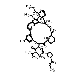 CCn1c(-c2cccnc2[C@H](C)OC)c2c3cc(ccc31)-c1cc(O)cc(c1)C[C@H](NC(=O)[C@H](C(C)C)N(C)C(=O)[C@H]1CCN(C(=O)OC)C1)C(=O)N1CCCC(C=O)(COCC(C)(C)C2)N1